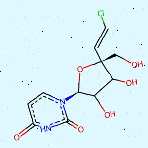 O=c1ccn([C@H]2O[C@@](C=CCl)(CO)C(O)C2O)c(=O)[nH]1